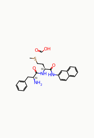 CSCC[C@H](NC(=O)[C@@H](N)Cc1ccccc1)C(=O)Nc1ccc2ccccc2c1.O=CO